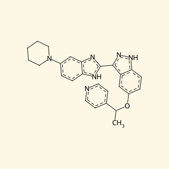 CC(Oc1ccc2[nH]nc(-c3nc4cc(N5CCCCC5)ccc4[nH]3)c2c1)c1ccncc1